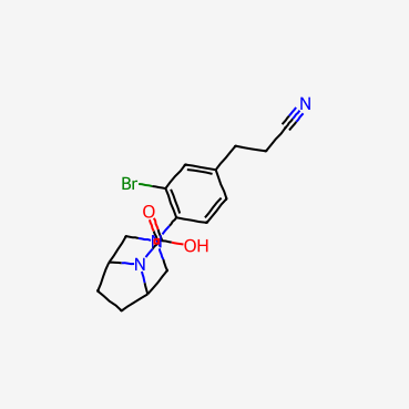 N#CCCc1ccc(N2CC3CCC(C2)N3C(=O)O)c(Br)c1